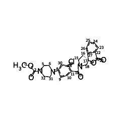 COC(=O)N1CCN(c2ccc(C(=O)N3CC[C@@]4(C3)OC(=O)c3ccccc34)c(Cl)c2)CC1